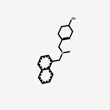 CN(CC1=CCC(C(C)(C)C)CC1)Cc1cccc2ccccc12